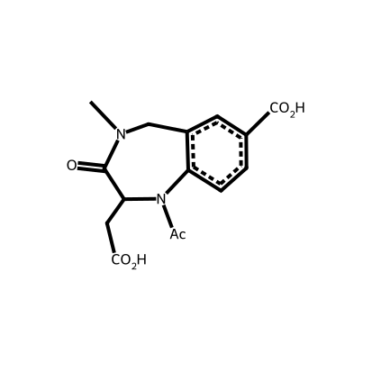 CC(=O)N1c2ccc(C(=O)O)cc2CN(C)C(=O)C1CC(=O)O